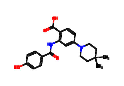 CC1(C)CCN(c2ccc(C(=O)O)c(NC(=O)c3ccc(O)cc3)c2)CC1